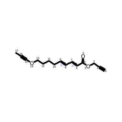 C#CCOC(=O)/C=C/C=C/CCCCOC#CC